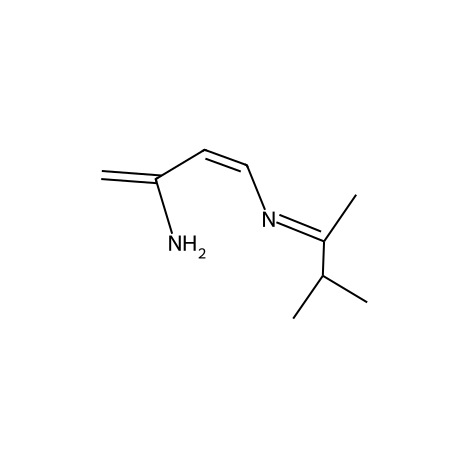 C=C(N)/C=C\N=C(/C)C(C)C